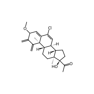 C=C1C(=C)[C@@]2(C)C(=CC1OC)C(Cl)=C[C@@H]1[C@@H]2CC[C@@]2(C)[C@H]1CC[C@]2(O)C(C)=O